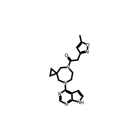 Cc1cc(CC(=O)N2CCN(c3ncnc4[nH]ccc34)CC3(CC3)C2)no1